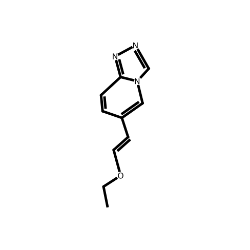 CCO/C=C/c1ccc2nncn2c1